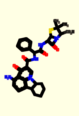 CC1(C)SC2C(NC(=O)C(NC(=O)c3cn4c5c(ccc(N)c5c3=O)C3CCCCC34)c3ccccc3)C(=O)N2C1C(=O)O